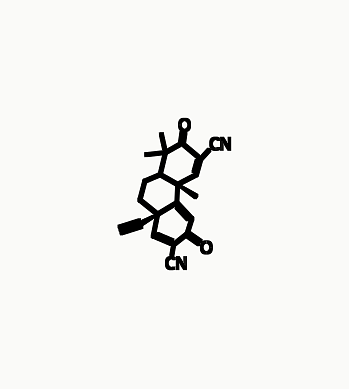 C#C[C@]12C=C(C#N)C(=O)C=C1[C@@]1(C)C=C(C#N)C(=O)C(C)(C)C1CC2